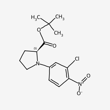 CC(C)(C)OC(=O)[C@@H]1CCCN1c1ccc([N+](=O)[O-])c(Cl)c1